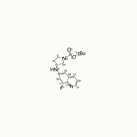 CC(C)(C)OC(=O)N1CC[C@H](Nc2cc(F)c3ncccc3c2)C1